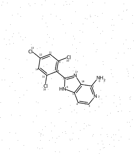 Nc1nccc2[nH]c(-c3c(Cl)cc(Cl)cc3Cl)nc12